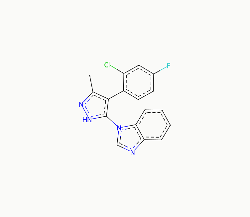 Cc1n[nH]c(-n2cnc3ccccc32)c1-c1ccc(F)cc1Cl